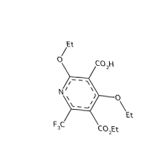 CCOC(=O)c1c(C(F)(F)F)nc(OCC)c(C(=O)O)c1OCC